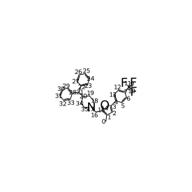 Cc1cc(-c2ccc(C(F)(F)F)cc2)oc1CN1CCC(C(c2ccccc2)c2ccccc2)CC1